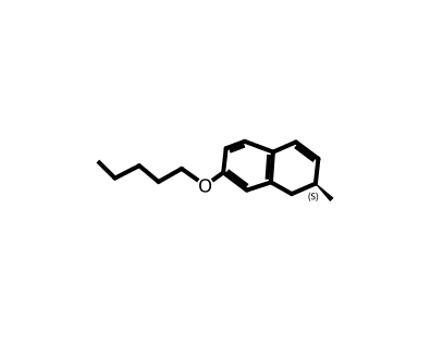 CCCCCOc1ccc2c(c1)C[C@H](C)C=C2